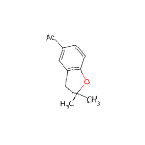 CC(=O)c1ccc2c(c1)CC(C)(C)O2